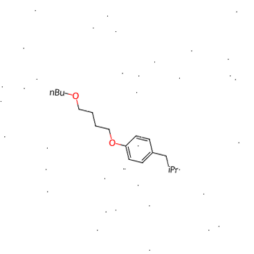 CCCCOCCCCOc1ccc(C[C](C)C)cc1